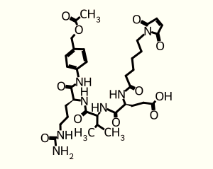 CC(=O)OCc1ccc(NC(=O)[C@H](CCCNC(N)=O)NC(=O)[C@@H](NC(=O)[C@H](CCC(=O)O)NC(=O)CCCCCN2C(=O)C=CC2=O)C(C)C)cc1